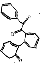 O=C1CC=CC=C1c1ccccc1C(=O)C(=O)c1ccccc1